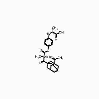 CC(=O)C12CC3CC(C1)CC(C(=O)[N+](C)(C)C(=O)Oc1ccc(N[C@@H](C)C(=O)O)cc1)(C3)C2